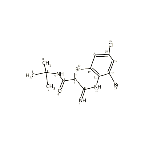 CC(C)(C)NC(=O)NC(=N)Nc1c(Br)cc(Cl)cc1Br